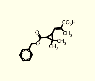 CC(=CC1C(C(=O)OCc2ccccc2)C1(C)C)C(=O)O